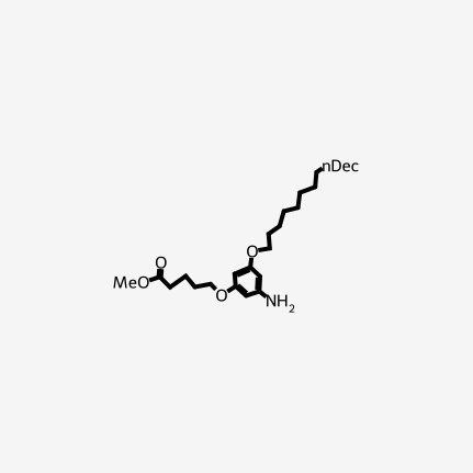 CCCCCCCCCCCCCCCCCCOc1cc(N)cc(OCCCCC(=O)OC)c1